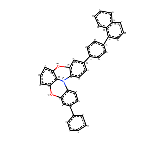 c1ccc(-c2ccc3c(c2)Oc2cccc4c2N3c2ccc(-c3ccc(-c5cccc6ccccc56)cc3)cc2O4)cc1